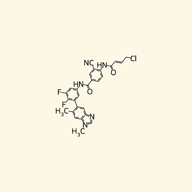 Cc1cc2c(cc1-c1cc(NC(=O)c3ccc(NC(=O)/C=C/CCl)c(C#N)c3)cc(F)c1F)ncn2C